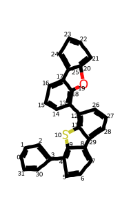 c1ccc(-c2cccc3c2sc2c(-c4cccc5c4oc4ccccc45)cccc23)cc1